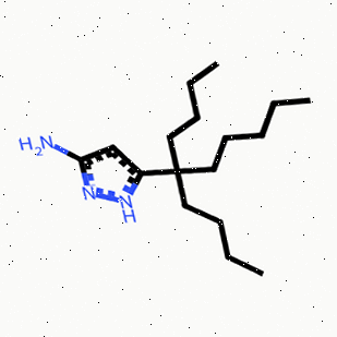 CCCCCC(CCCC)(CCCC)c1cc(N)n[nH]1